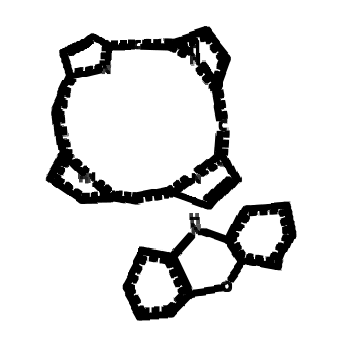 C1=Cc2cc3ccc(cc4nc(cc5ccc(cc1n2)[nH]5)C=C4)[nH]3.c1ccc2c(c1)Nc1ccccc1O2